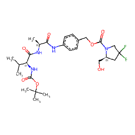 CC(C)[C@H](NC(=O)OC(C)(C)C)C(=O)N[C@@H](C)C(=O)Nc1ccc(COC(=O)N2CC(F)(F)C[C@H]2CO)cc1